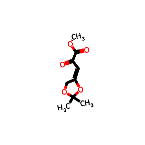 COC(=O)C(=O)/C=C1\COC(C)(C)O1